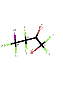 FC(F)(Br)C(Br)C(F)(F)C(F)(F)I